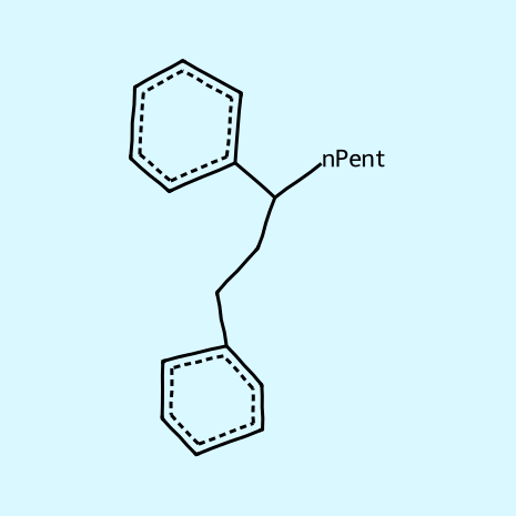 CCCCCC(CCc1ccccc1)c1ccccc1